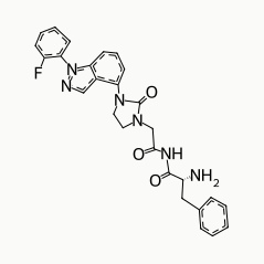 N[C@H](Cc1ccccc1)C(=O)NC(=O)CN1CCN(c2cccc3c2cnn3-c2ccccc2F)C1=O